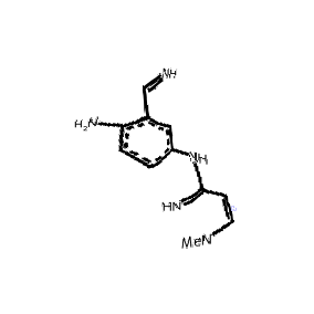 CN/C=C\C(=N)Nc1ccc(N)c(C=N)c1